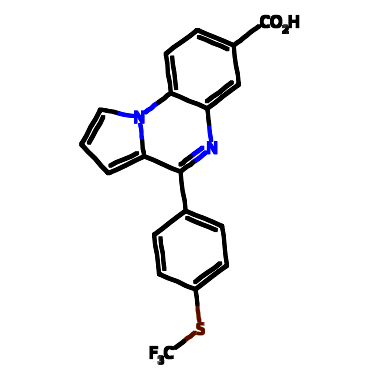 O=C(O)c1ccc2c(c1)nc(-c1ccc(SC(F)(F)F)cc1)c1cccn12